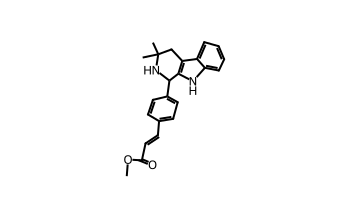 COC(=O)/C=C/c1ccc(C2NC(C)(C)Cc3c2[nH]c2ccccc32)cc1